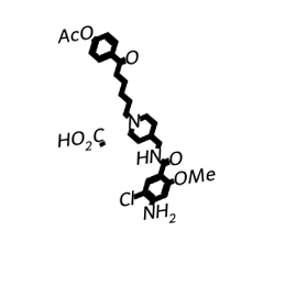 CC(=O)O.COc1cc(N)c(Cl)cc1C(=O)NCC1CCN(CCCCCC(=O)c2ccc(OC(C)=O)cc2)CC1